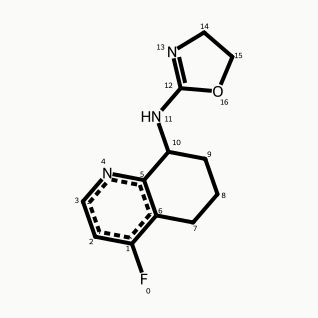 Fc1ccnc2c1CCCC2NC1=NCCO1